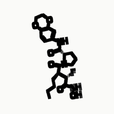 CCCC[C@@H](C(=O)N1CCC[C@H]1C(=O)Nc1ccc2c(c1)OCCO2)[C@H](F)C(=O)NO